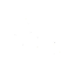 C=C(F)C(=O)N1CCN(c2nc(OCC3[C@@H](F)C[C@@H](C)N3C)nc3c2CC[C@@]2(CCc4c(Cl)cccc42)C3F)C[C@@H]1CC#N